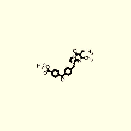 CCc1c(C)nc2n(Cc3ccc(C(=O)c4ccc(C(=O)OC)cc4)cc3)ccn2c1=O